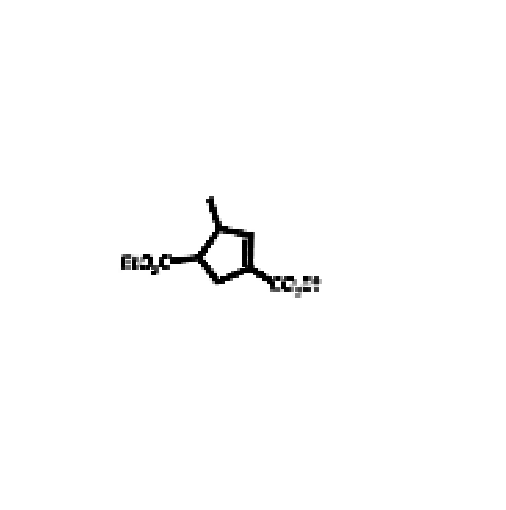 CCOC(=O)C1=CC(C)C(C(=O)OCC)C1